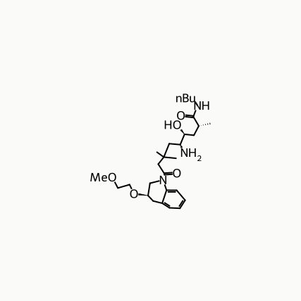 CCCCNC(=O)[C@H](C)C[C@H](O)[C@@H](N)CC(C)(C)CC(=O)N1C[C@H](OCCOC)Cc2ccccc21